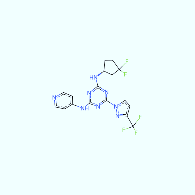 FC1(F)CC[C@H](Nc2nc(Nc3ccncc3)nc(-n3ccc(C(F)(F)F)n3)n2)C1